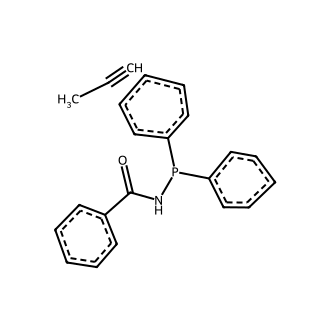 C#CC.O=C(NP(c1ccccc1)c1ccccc1)c1ccccc1